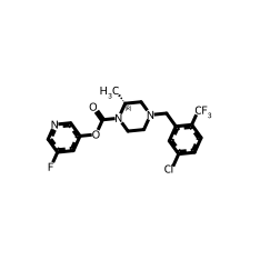 C[C@@H]1CN(Cc2cc(Cl)ccc2C(F)(F)F)CCN1C(=O)Oc1cncc(F)c1